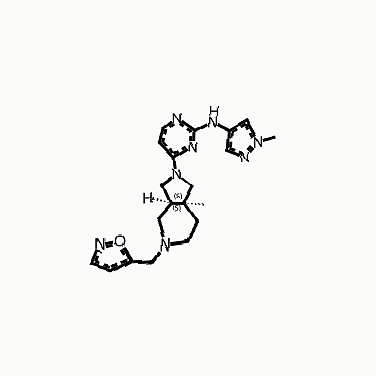 Cn1cc(Nc2nccc(N3C[C@@H]4CN(Cc5ccno5)CC[C@]4(C)C3)n2)cn1